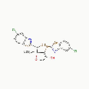 CCOC(=O)C1(C(S)c2nc3cc(Cl)ccc3s2)OCC(O)=C1Sc1nc2cc(Cl)ccc2s1